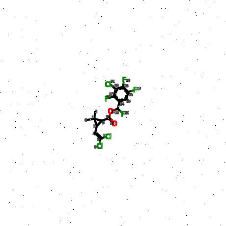 CC1(C)C(C=C(Cl)Cl)C1C(=O)OC(F)c1cc(F)c(F)c(Cl)c1F